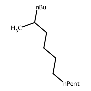 [CH2]CCCC(C)CCCCCCCCC